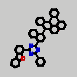 c1ccc(-c2nc(-c3ccc(-c4c5ccccc5c(-c5ccccc5-c5ccccc5)c5ccccc45)c4ccccc34)nc(-c3cccc4c3oc3ccccc34)n2)cc1